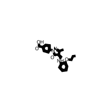 CCCOc1ccccc1NC=C1C(=O)N(c2ccc(C(=O)O)cc2)N=C1C